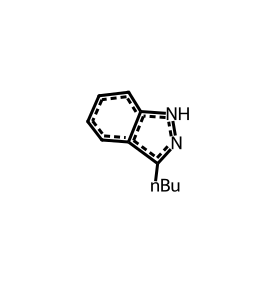 [CH2]CCCc1n[nH]c2ccccc12